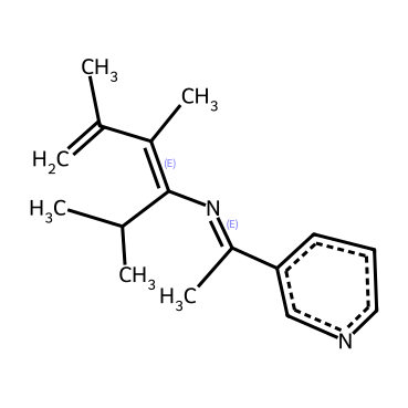 C=C(C)/C(C)=C(/N=C(\C)c1cccnc1)C(C)C